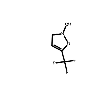 ON1CC=C(C(F)(F)F)O1